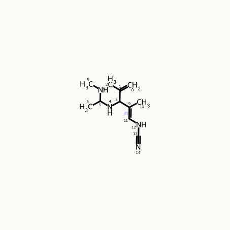 C=C(C)C(NC(C)NC)/C(C)=C/NC#N